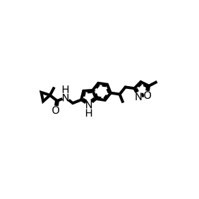 Cc1cc(CC(C)c2ccc3cc(CNC(=O)C4(C)CC4)[nH]c3c2)no1